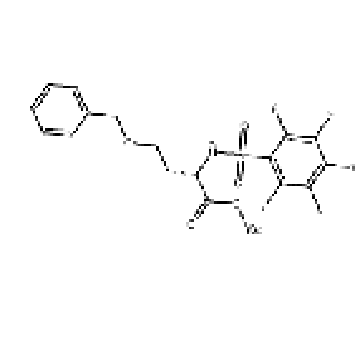 CC(C)(C)OC(=O)[C@H](CCOCc1ccccc1)NS(=O)(=O)c1c(F)c(F)c(F)c(F)c1F